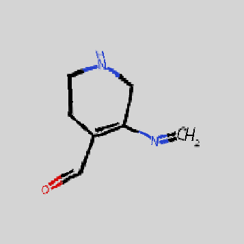 C=NC1=C(C=O)CCNC1